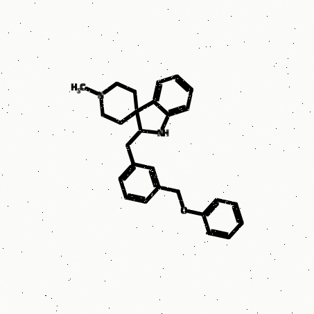 CN1CCC2(CC1)c1ccccc1NC2Cc1cccc(COc2[c]cccc2)c1